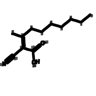 CCCCCCCC(C)=C(C#N)C(=O)O